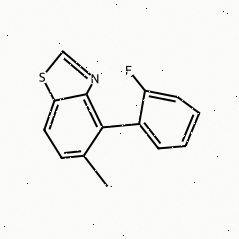 [CH2]c1ccc2scnc2c1-c1ccccc1F